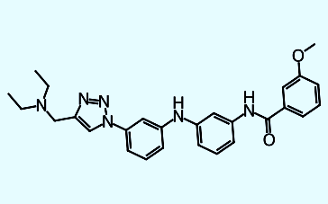 CCN(CC)Cc1cn(-c2cccc(Nc3cccc(NC(=O)c4cccc(OC)c4)c3)c2)nn1